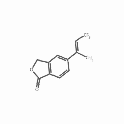 CC(=CC(F)(F)F)c1ccc2c(c1)COC2=O